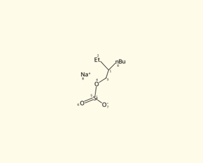 CCCCC(CC)CO[Si](=O)[O-].[Na+]